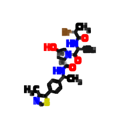 Cc1ncsc1-c1ccc(C(C)NC(=O)[C@@H]2C[C@@H](O)CN2C(=O)C(NC(=O)C(C)Br)C(C)(C)C)cc1